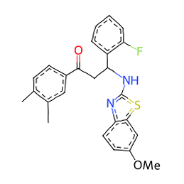 COc1ccc2nc(NC(CC(=O)c3ccc(C)c(C)c3)c3ccccc3F)sc2c1